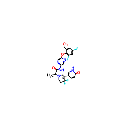 CC(C(=O)Nc1cnc(Oc2c(F)cc(F)cc2CO)cn1)N1CCC(F)(F)[C@@H](c2ccc(=O)[nH]c2)C1